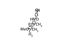 CCC1C[C@@H](NC(=O)c2ccc(-n3cccn3)cc2)CC(C)N1Cc1ccc(OC)c(C)c1C